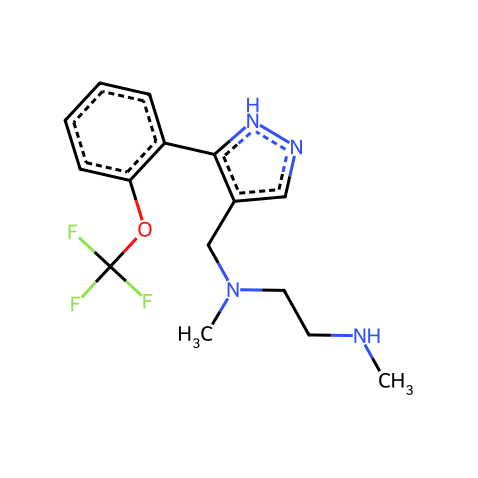 CNCCN(C)Cc1cn[nH]c1-c1ccccc1OC(F)(F)F